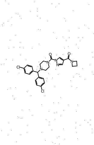 O=C(c1cnn(C(=O)N2CCN(C(c3ccc(Cl)cc3)c3ccc(Cl)cc3)CC2)c1)N1CCC1